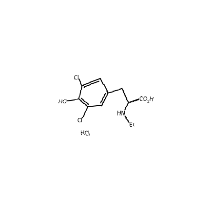 CCNC(Cc1cc(Cl)c(O)c(Cl)c1)C(=O)O.Cl